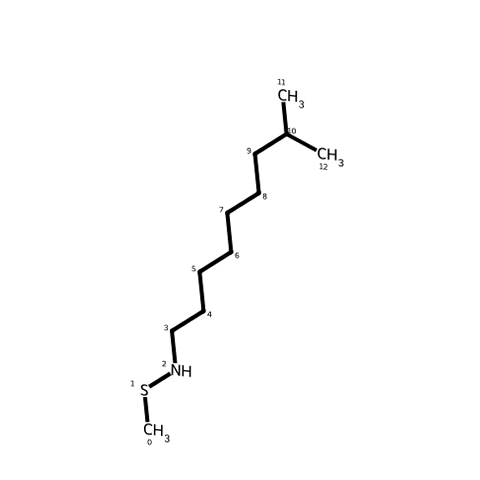 CSNCCCCCCCC(C)C